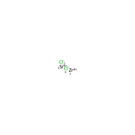 [Cl-].[Cl-].[Si+4].[Zr+4]